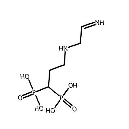 N=CCNCCC(P(=O)(O)O)P(=O)(O)O